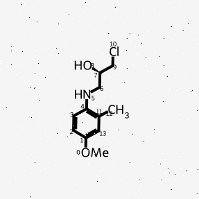 COc1ccc(NC[C@@H](O)CCl)c(C)c1